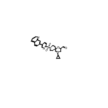 O=CC1CN(C2CC2)CC2(CCN(S(=O)(=O)c3ccc(-c4ccc5cccnc5c4)cn3)CC2)O1